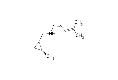 CC(C)=C/C=C\NCC1C[C@@H]1C